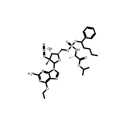 CCCCC(OP(=O)(N[C@@H](C)C(=O)OC(C)C)OC[C@H]1OC(n2cnc3c(OCC)nc(N)nc32)[C@](C)(N=[N+]=[N-])[C@@H]1O)c1ccccc1